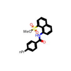 CCCc1ccc(C(=O)Nc2cccc3cccc(S(=O)(=O)OC)c23)cc1